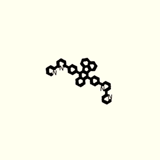 c1ccc(-c2cccc(-c3ccc(-c4c5c(c(-c6ccc(-c7cccc(-c8ccccn8)n7)cc6)c6ccccc46)-c4cccc6cccc-5c46)cc3)n2)nc1